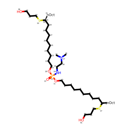 CCCCCCCCC(CCCCCCCCCOP(=O)(NCCN(C)C)OCCCCCCCCC[C@H](CCCCCCCC)SCCCO)SCCCO